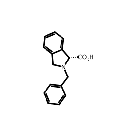 O=C(O)[C@H]1c2ccccc2CN1Cc1ccccc1